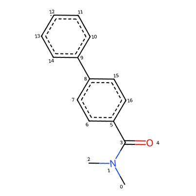 CN(C)C(=O)c1ccc(-c2cc[c]cc2)cc1